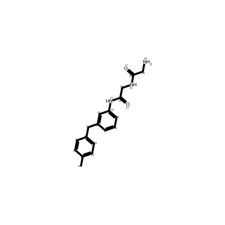 Cc1ccc(Cc2cccc(NC(=O)CNC(=O)CN)c2)cc1